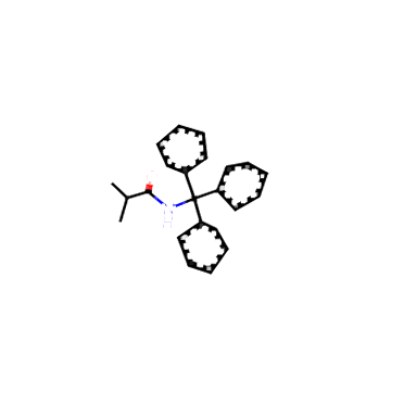 CC(C)C(=O)NC(c1ccccc1)(c1ccccc1)c1ccccc1